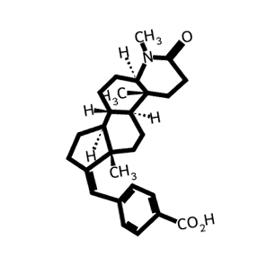 CN1C(=O)CC[C@]2(C)[C@H]3CC[C@]4(C)/C(=C\c5ccc(C(=O)O)cc5)CC[C@H]4[C@@H]3CC[C@@H]12